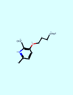 CCCCCCCCCCOc1ccc(C)nc1C=O